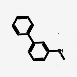 CBc1cccc(-c2ccccc2)c1